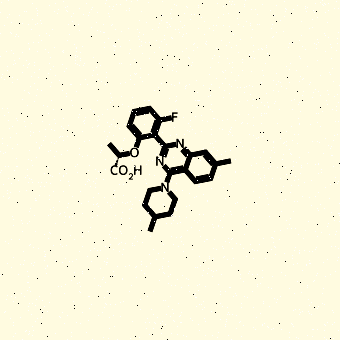 Cc1ccc2c(N3CCC(C)CC3)nc(-c3c(F)cccc3O[C@@H](C)C(=O)O)nc2c1